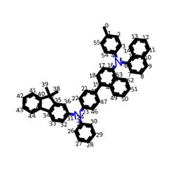 Cc1ccc(N(c2cccc3ccccc23)c2ccc(-c3ccc(N(c4ccccc4)c4ccc5c(c4)C(C)(C)c4ccccc4-5)cc3)c3ccccc23)cc1